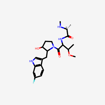 CN[C@H](C)C(=O)NC(C(=O)N1CCC(O)C1Cc1c[nH]c2cc(F)ccc12)C(C)OC